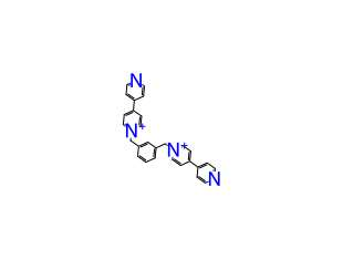 c1cc(C[n+]2ccc(-c3ccncc3)cc2)cc(C[n+]2ccc(-c3ccncc3)cc2)c1